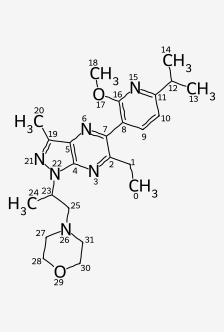 CCc1nc2c(nc1-c1ccc(C(C)C)nc1OC)c(C)nn2C(C)CN1CCOCC1